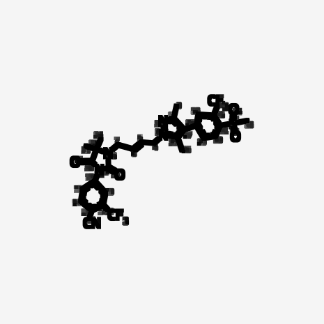 Cc1nn(CC=CCN2C(=O)N(c3ccc(C#N)c(C(F)(F)F)c3)C(=O)C2(C)C)c(C)c1-c1ccc(S(C)(=O)=O)c(C(F)(F)F)c1